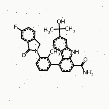 Cc1c(-c2ccc(C(N)=O)c3[nH]c4cc(C(C)(C)O)ccc4c23)cccc1N1Cc2ccc(F)cc2C1=O